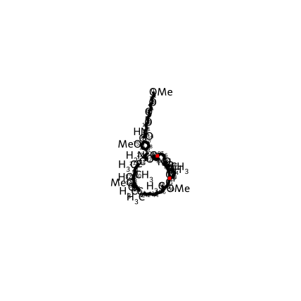 COCCOCCOCCOCCNC(=O)O[C@@H]1CC[C@@H](C[C@@H](N)[C@@H]2CC[C@H](C)/C=C(\C)[C@@H](O)[C@@H](OC)C(=O)[C@H](C)C[C@H](C)/C=C/C=C/C=C(\C)[C@@H](OC)C[C@@H]3CC[C@@H](C)[C@@](O)(O3)C(=O)C(=O)N3CCCC[C@H]3C(=O)O2)C[C@H]1OC